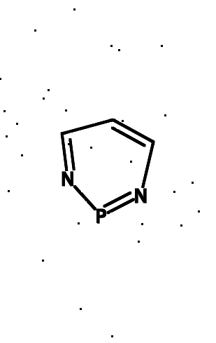 c1cnpnc1